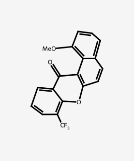 COc1cccc2ccc3oc4c(C(F)(F)F)cccc4c(=O)c3c12